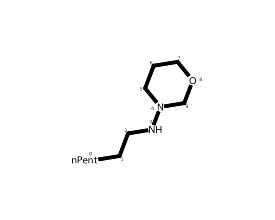 CCCCCCCNN1CCCOC1